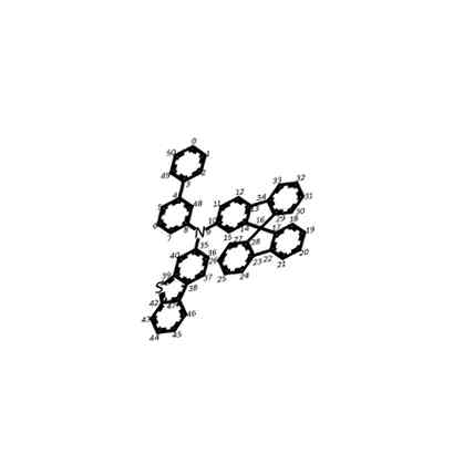 c1ccc(-c2cccc(N(c3ccc4c(c3)C3(c5ccccc5-c5ccccc53)c3ccccc3-4)c3ccc4c(c3)sc3ccccc34)c2)cc1